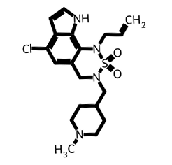 C=CCN1c2c(cc(Cl)c3cc[nH]c23)CN(CC2CCN(C)CC2)S1(=O)=O